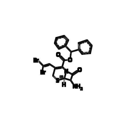 NC1C(=O)N2C(C(=O)OC(c3ccccc3)c3ccccc3)=C(C=C(Br)Br)CS[C@H]12